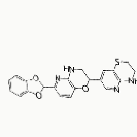 c1ccc2c(c1)OC(c1ccc3c(n1)NCC(c1cnc4c(c1)SCCN4)O3)O2